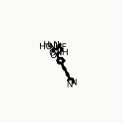 Cn1cc(C#CC#Cc2ccc(C(=O)N[C@H](C(=O)NO)C(C)(N)C(F)F)cc2)cn1